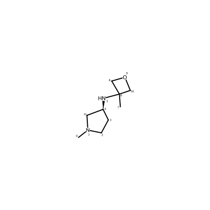 CN1CC[C@H](NC2(C)COC2)C1